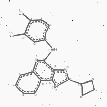 Clc1ccc(Nc2nc3ccccc3c3[nH]c(C4CCC4)nc23)cc1Cl